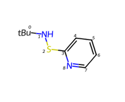 CC(C)(C)NSc1ccccn1